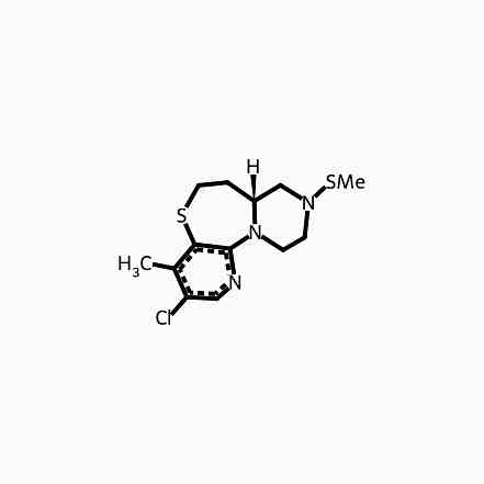 CSN1CCN2c3ncc(Cl)c(C)c3SCC[C@@H]2C1